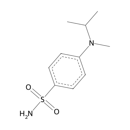 CC(C)N(C)c1ccc(S(N)(=O)=O)cc1